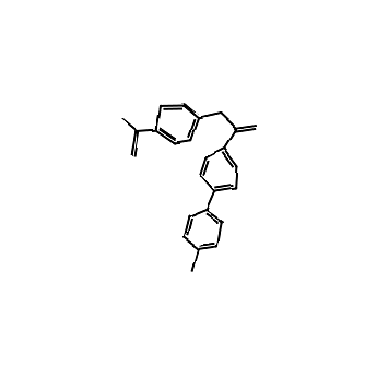 C=C(C)c1ccc(CC(=C)c2ccc(-c3ccc(C)cc3)cc2)cc1